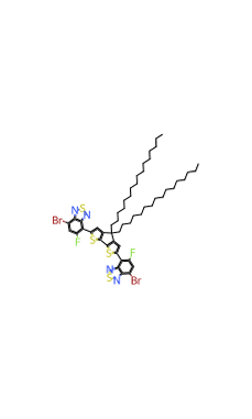 CCCCCCCCCCCCCCCCC1(CCCCCCCCCCCCCCCC)c2cc(-c3c(F)cc(Br)c4nsnc34)sc2-c2sc(-c3c(F)cc(Br)c4nsnc34)cc21